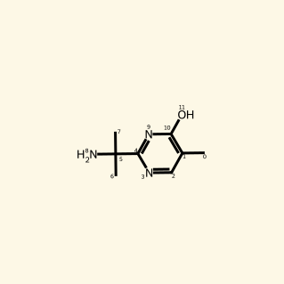 Cc1cnc(C(C)(C)N)nc1O